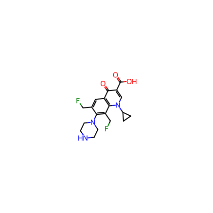 O=C(O)c1cn(C2CC2)c2c(CF)c(N3CCNCC3)c(CF)cc2c1=O